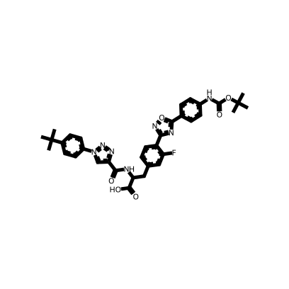 CC(C)(C)OC(=O)Nc1ccc(-c2nc(-c3ccc(CC(NC(=O)c4cn(-c5ccc(C(C)(C)C)cc5)nn4)C(=O)O)cc3F)no2)cc1